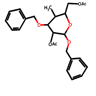 CC(=O)OCC1OC(OCc2ccccc2)C(OC(C)=O)C(OCc2ccccc2)C1C